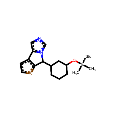 CC(C)(C)[Si](C)(C)OC1CCCC(C2c3sccc3-c3cncn32)C1